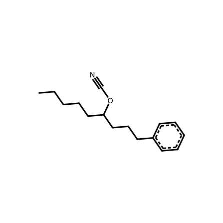 CCCCCC(CCCc1ccccc1)OC#N